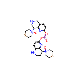 O=[PH](Oc1ccc2c(n1)C([N+]1([O-])CCSCC1)CNC2)Oc1ccc2c(n1)C([N+]1([O-])CCSCC1)CCN2